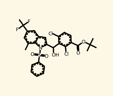 Cc1cc(C(C)(F)F)cc2cc(C(O)c3c(Cl)ccc(C(=O)OC(C)(C)C)c3Cl)n(S(=O)(=O)c3ccccc3)c12